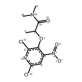 CC(Oc1c([N+](=O)[O-])cc(Cl)nc1Cl)C(=O)N(C)C